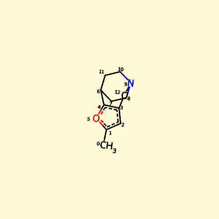 Cc1cc2c(o1)C1CCN(CC1)C2